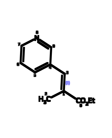 CCOC(=O)/C(C)=C/c1cccnc1